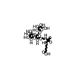 O=C(O)CCCCCNc1c(NCCO[C@@H]2O[C@H](CO[C@H]3O[C@H](CO)[C@@H](O)[C@H](O)[C@@H]3O)[C@@H](O)[C@H](O[C@H]3O[C@H](CO)[C@@H](O)[C@H](O)[C@@H]3O)[C@@H]2O)c(=O)c1=O